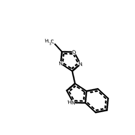 Cc1nc(-c2c[nH]c3ccccc23)no1